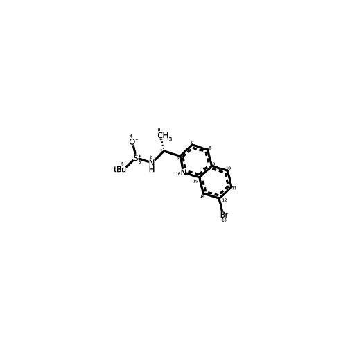 C[C@@H](N[S+]([O-])C(C)(C)C)c1ccc2ccc(Br)cc2n1